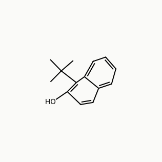 CC(C)(C)c1c(O)ccc2ccccc12